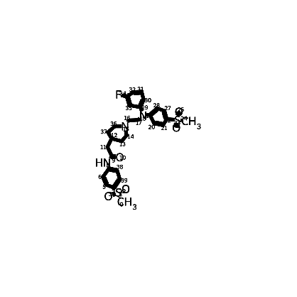 CS(=O)(=O)c1ccc(NC(=O)CC2CCN(CCN(c3ccc(S(C)(=O)=O)cc3)c3cccc(F)c3)CC2)cc1